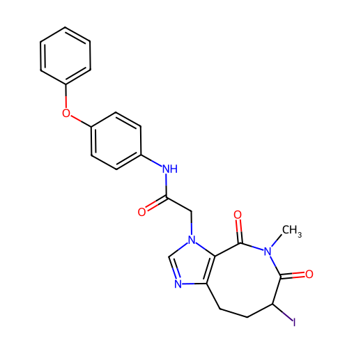 CN1C(=O)c2c(ncn2CC(=O)Nc2ccc(Oc3ccccc3)cc2)CCC(I)C1=O